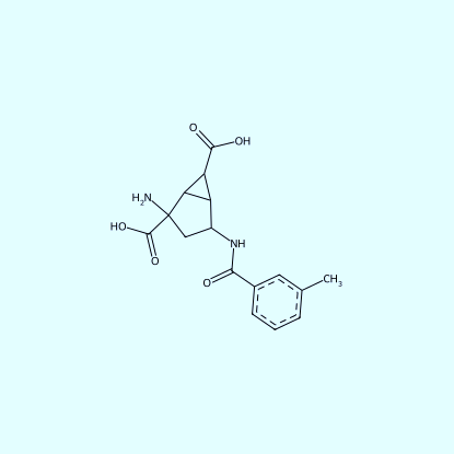 Cc1cccc(C(=O)NC2CC(N)(C(=O)O)C3C(C(=O)O)C23)c1